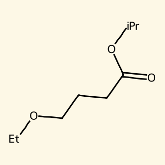 CCOCCCC(=O)OC(C)C